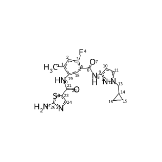 Cc1cc(F)c(C(=O)Nc2ccn(CC3CC3)n2)cc1NC(=O)c1cnc(N)s1